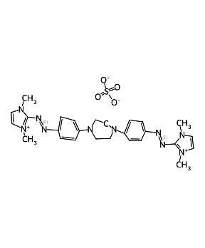 Cn1cc[n+](C)c1/N=N/c1ccc(N2CCN(c3ccc(/N=N/c4n(C)cc[n+]4C)cc3)CC2)cc1.O=S(=O)([O-])[O-]